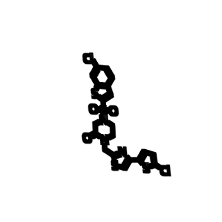 O=C1CN(S(=O)(=O)c2cc3ccc(Cl)cc3s2)CCN1Cc1nc(-c2ccc(Cl)s2)cs1